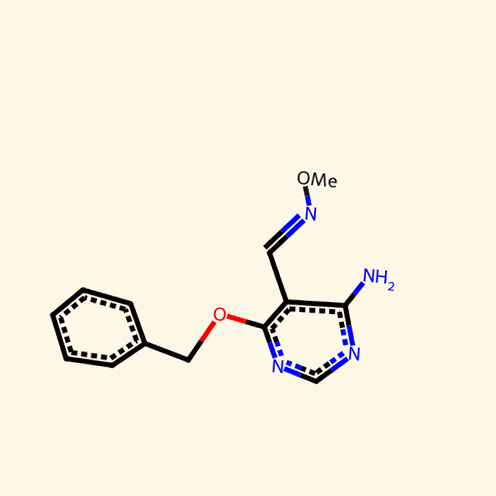 CON=Cc1c(N)ncnc1OCc1ccccc1